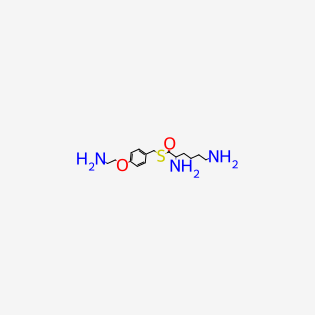 NCCCC[C@H](N)C(=O)SCc1ccc(OCCN)cc1